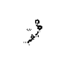 Cn1nc(/C=C/C(=O)O)nc1NCCCOc1cccc(CN2CCCCC2)c1.O